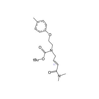 Cc1ccc(OCCN(C/C=C/C(=O)N(C)C)C(=O)OC(C)(C)C)cc1